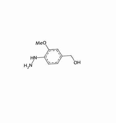 COc1cc(CO)ccc1NN